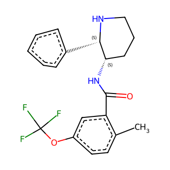 Cc1ccc(OC(F)(F)F)cc1C(=O)N[C@H]1CCCN[C@H]1c1ccccc1